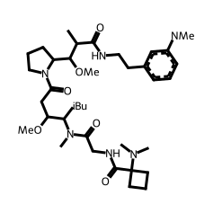 CCC(C)C(C(CC(=O)N1CCCC1C(OC)C(C)C(=O)NCCc1cccc(NC)c1)OC)N(C)C(=O)CNC(=O)C1(N(C)C)CCC1